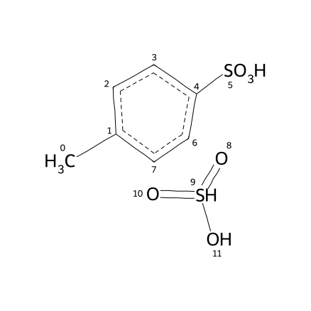 Cc1ccc(S(=O)(=O)O)cc1.O=[SH](=O)O